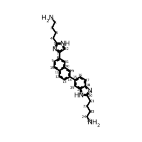 NCCCCc1nc(-c2ccc3ccc(-c4ccc5nc(CCCCN)[nH]c5c4)cc3c2)c[nH]1